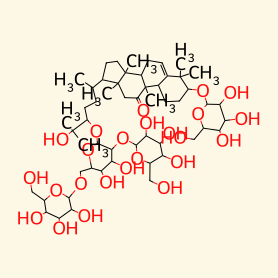 CC(CCC(OC1OC(COC2OC(CO)C(O)C(O)C2O)C(O)C(O)C1OC1OC(CO)C(O)C(O)C1O)C(C)(C)O)C1CCC2(C)C3CC=C4C(CCC(OC5OC(CO)C(O)C(O)C5O)C4(C)C)C3(C)C(=O)CC12C